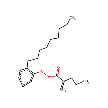 C=C(CCC)C(=O)OOc1ccccc1CCCCCCCCC